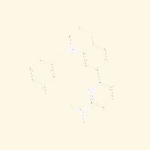 Cc1ccc(N(C)C)nc1-c1ccc2c(c1)N(S(=O)(=O)c1cccc(C(F)(F)F)c1)CCO2